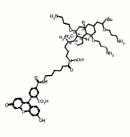 CCCCCCCCN(CCC[C@@H](C)[C@H]1CC[C@H]2C3[C@@H](CC(CC(CCCC)OCCCN)C[C@H]3OCCCN)C[C@H](OCCCN)[C@]12C)C(=O)CCCCCNC(=O)c1ccc(-c2c3ccc(=O)cc-3oc3cc(O)ccc23)c(C(=O)O)c1